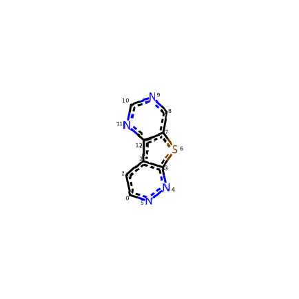 c1cc2c(nn1)sc1cncnc12